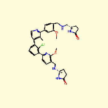 COc1cc(-c2nccc(-c3cccc(-c4ccc(CN[C@@H]5CCC(=O)N5)c(OC)n4)c3Cl)c2C)ccc1CNC[C@@H]1CCC(=O)N1